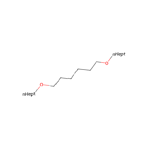 CCCCCCCOCCCCCCOCCCCCCC